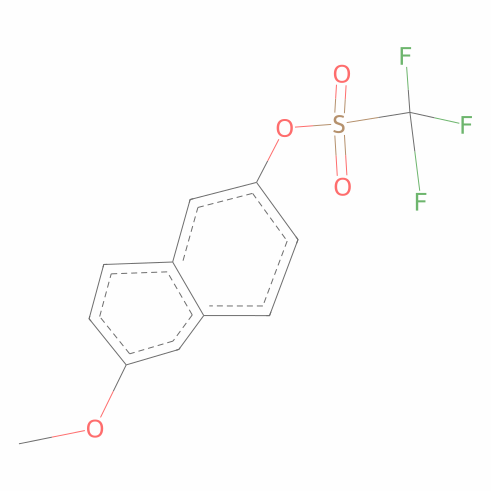 COc1ccc2cc(OS(=O)(=O)C(F)(F)F)ccc2c1